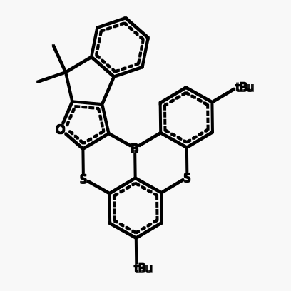 CC(C)(C)c1ccc2c(c1)Sc1cc(C(C)(C)C)cc3c1B2c1c(oc2c1-c1ccccc1C2(C)C)S3